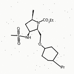 CCOC(=O)N1[C@H](C)C[C@H](NS(C)(=O)=O)[C@@H]1COC1CCC(C(C)C)CC1